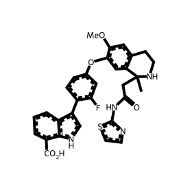 COc1cc2c(cc1Oc1ccc(-c3c[nH]c4c(C(=O)O)cccc34)c(F)c1)C(C)(CC(=O)Nc1nccs1)NCC2